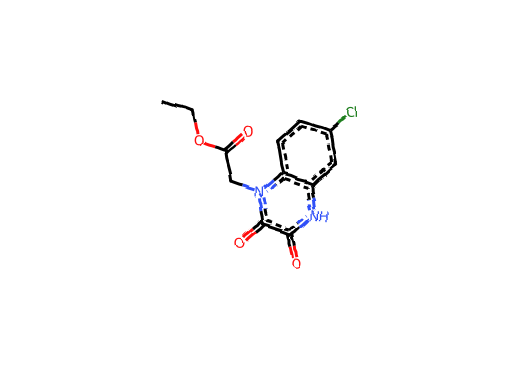 CCOC(=O)Cn1c(=O)c(=O)[nH]c2cc(Cl)ccc21